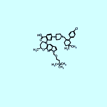 C[C@H]1CCN(c2cc(N3CCN(CC4=C(c5ccc(Cl)cc5)CC(C)(C)CC4)CC3)ccc2C(=O)O)c2cc3ccn(COCC[Si](C)(C)C)c3nc2O1